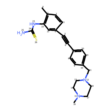 Cc1ccc(C#Cc2ccc(CN3CCN(C)CC3)cc2)cc1NC(N)=S